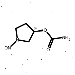 NC(=O)O[C@@H]1CCN(N=O)C1